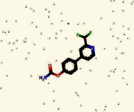 NC(=O)Oc1ccc(-c2ccnc(C(F)F)c2)cc1